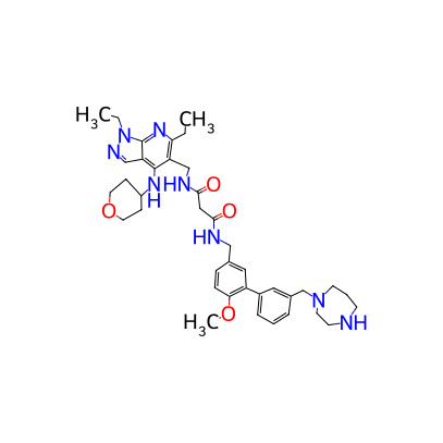 CCc1nc2c(cnn2CC)c(NC2CCOCC2)c1CNC(=O)CC(=O)NCc1ccc(OC)c(-c2cccc(CN3CCCNCC3)c2)c1